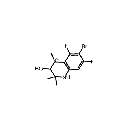 C[C@H]1c2c(cc(F)c(Br)c2F)NC(C)(C)C1O